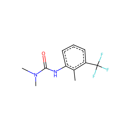 Cc1c(NC(=O)N(C)C)cccc1C(F)(F)F